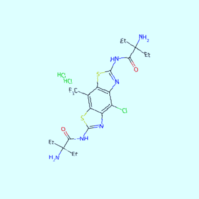 CCC(N)(CC)C(=O)Nc1nc2c(Cl)c3nc(NC(=O)C(N)(CC)CC)sc3c(C(F)(F)F)c2s1.Cl.Cl